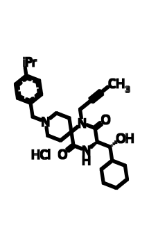 CC#CCN1C(=O)[C@@H]([C@H](O)C2CCCCC2)NC(=O)C12CCN(Cc1ccc(C(C)C)cc1)CC2.Cl